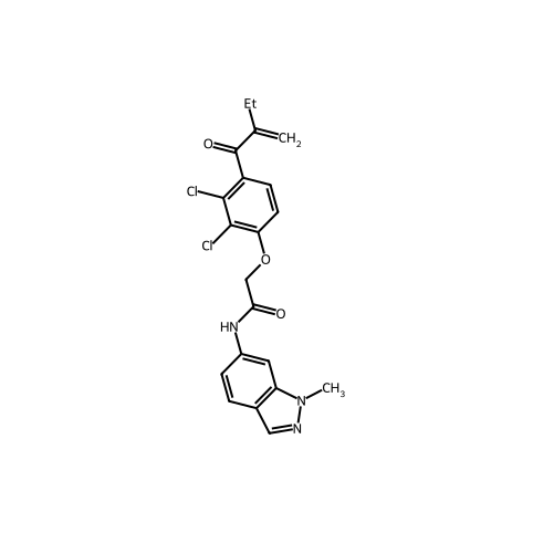 C=C(CC)C(=O)c1ccc(OCC(=O)Nc2ccc3cnn(C)c3c2)c(Cl)c1Cl